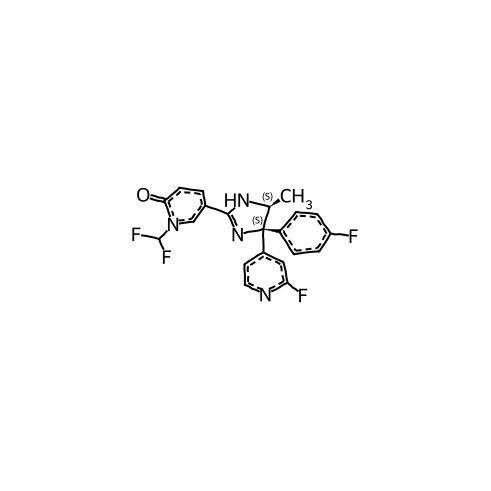 C[C@@H]1NC(c2ccc(=O)n(C(F)F)c2)=N[C@@]1(c1ccc(F)cc1)c1ccnc(F)c1